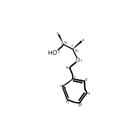 C[C@H](O)[C@@H](C)OCc1ccccc1